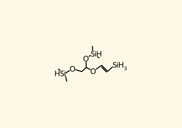 C[SiH](C)OCC(OC=C[SiH3])O[SiH](C)C